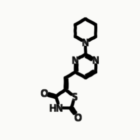 O=C1NC(=O)/C(=C/c2ccnc(N3CCCCC3)n2)S1